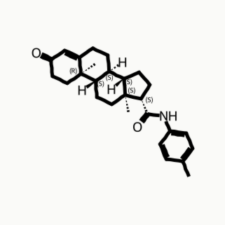 Cc1ccc(NC(=O)[C@H]2CC[C@H]3[C@@H]4CCC5=CC(=O)CC[C@]5(C)[C@H]4CC[C@]23C)cc1